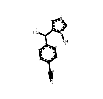 Cn1cncc1C(O)c1ccc(C#N)cc1